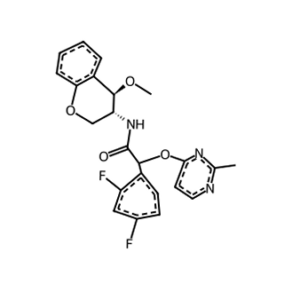 CO[C@@H]1c2ccccc2OC[C@H]1NC(=O)C(Oc1ccnc(C)n1)c1ccc(F)cc1F